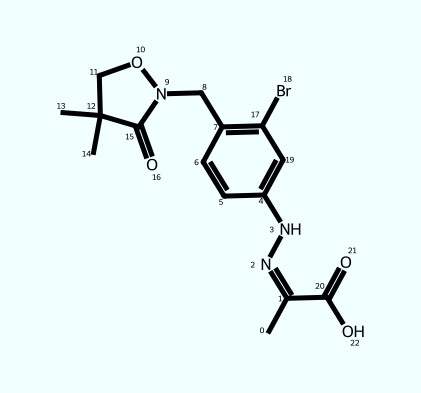 CC(=NNc1ccc(CN2OCC(C)(C)C2=O)c(Br)c1)C(=O)O